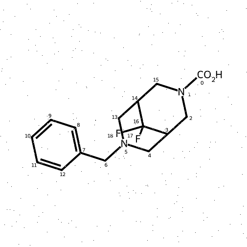 O=C(O)N1CC2CN(Cc3ccccc3)CC(C1)C2(F)F